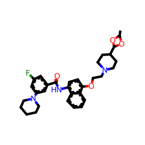 CC1OC(C2CCN(CCOc3ccc(NC(=O)c4cc(F)cc(N5CCCCC5)c4)c4ccccc34)CC2)O1